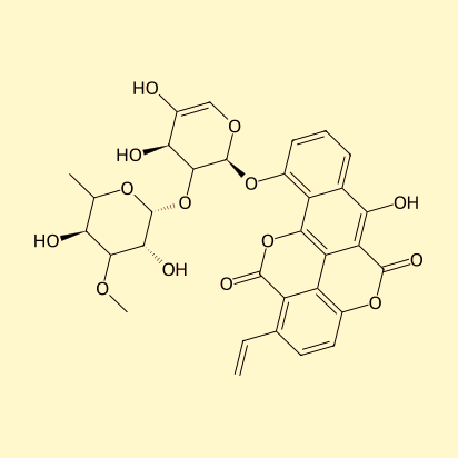 C=Cc1ccc2oc(=O)c3c(O)c4cccc(O[C@@H]5OC=C(O)[C@H](O)C5O[C@H]5OC(C)[C@H](O)C(OC)[C@H]5O)c4c4oc(=O)c1c2c34